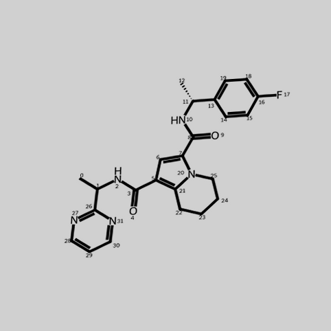 CC(NC(=O)c1cc(C(=O)N[C@H](C)c2ccc(F)cc2)n2c1CCCC2)c1ncccn1